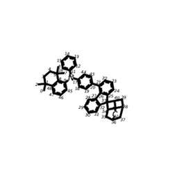 CC1(C)CCC(C)(C)c2c(N(c3ccccc3)c3ccc(-c4cccc5c4-c4ccccc4C54C5CC6CC7CC4C75C6)cc3)cccc21